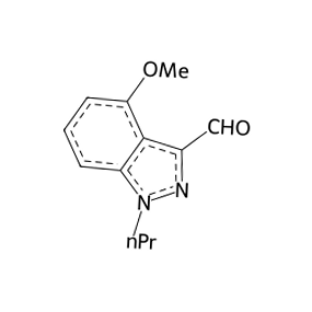 CCCn1nc(C=O)c2c(OC)cccc21